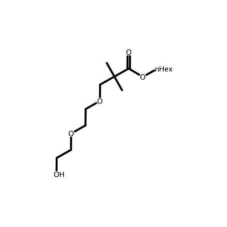 CCCCCCOC(=O)C(C)(C)COCCOCCO